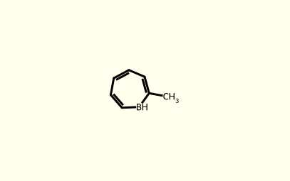 CC1=CC=CC=CB1